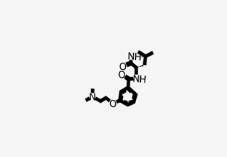 CC(C)C[C@H](NC(=O)c1cccc(OCCN(C)C)c1)C([NH])=O